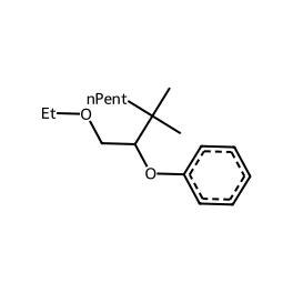 CCCCCC(C)(C)C(COCC)Oc1ccccc1